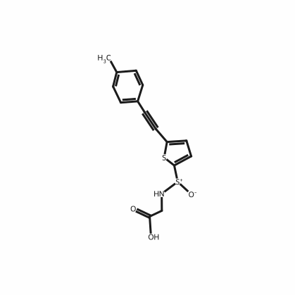 Cc1ccc(C#Cc2ccc([S+]([O-])NCC(=O)O)s2)cc1